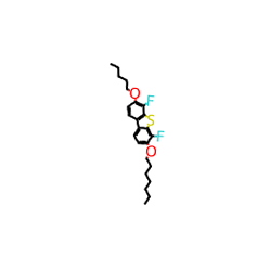 CCCCCCCOc1ccc2c(sc3c(F)c(OCCCCC)ccc32)c1F